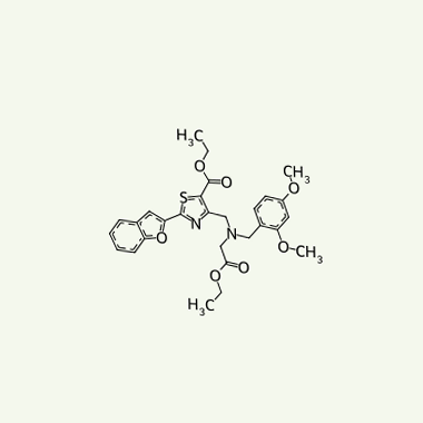 CCOC(=O)CN(Cc1ccc(OC)cc1OC)Cc1nc(-c2cc3ccccc3o2)sc1C(=O)OCC